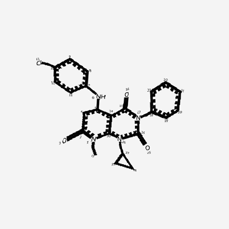 Cn1c(=O)cc(Nc2ccc(Cl)cc2)c2c(=O)n(-c3ccccc3)c(=O)n(C3CC3)c21